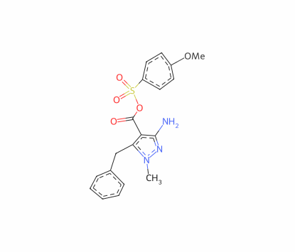 COc1ccc(S(=O)(=O)OC(=O)c2c(N)nn(C)c2Cc2ccccc2)cc1